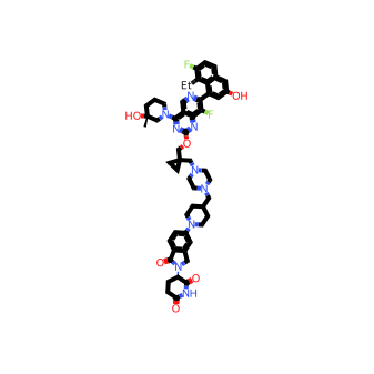 CCc1c(F)ccc2cc(O)cc(-c3ncc4c(N5CCC[C@@](C)(O)C5)nc(OCC5(CN6CCN(CC7CCN(c8ccc9c(c8)CN([C@H]8CCC(=O)NC8=O)C9=O)CC7)CC6)CC5)nc4c3F)c12